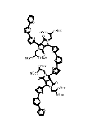 CCCCCCCCC(CCCCCC)CN1C(=O)C2=C(c3ccc(-c4ccc(-c5ccc(C6=C7C(=O)N(CC(CCCCCC)CCCCCCCC)C(c8ccc(-c9ccc(-c%10cccs%10)s9)s8)=C7C(=O)N6CC(CCCCCC)CCCCCCCC)s5)s4)s3)N(CC(CCCCCC)CCCCCCCC)C(=O)C2=C1c1ccc(-c2ccc(-c3cccs3)s2)s1